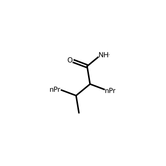 CCCC(C)C(CCC)C([NH])=O